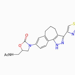 CC(=O)NCC1CN(c2ccc3c(c2)CCCc2c(-c4cscn4)n[nH]c2-3)C(=O)O1